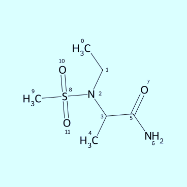 CCN(C(C)C(N)=O)S(C)(=O)=O